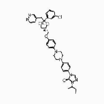 CCC(C)n1ncn(-c2ccc(N3CCN(c4ccc(OC[C@@H]5CO[C@](Cc6ccnnc6)(c6cccc(Cl)c6)O5)cc4)CC3)cc2)c1=O